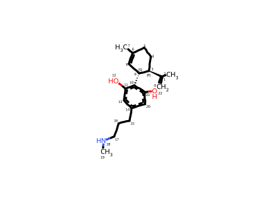 C=C(C)[C@@H]1CCC(C)=C[C@H]1c1c(O)cc(CCCNC)cc1O